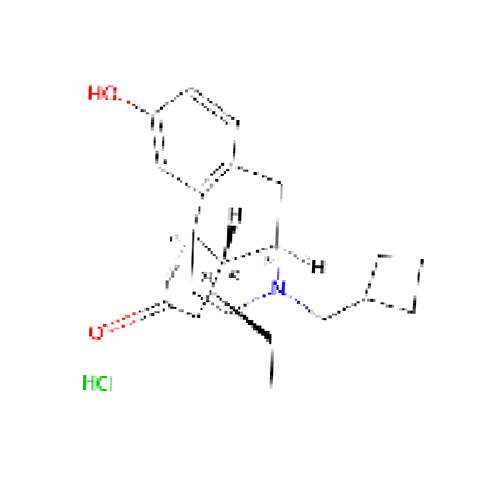 CC[C@H]1CC(=O)C[C@]23CCN(CC4CCC4)[C@H](Cc4ccc(O)cc42)[C@H]13.Cl